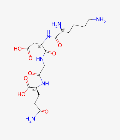 NCCCC[C@H](N)C(=O)N[C@@H](CC(=O)O)C(=O)NCC(=O)N[C@@H](CCC(N)=O)C(=O)O